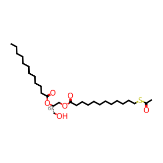 CCCCCCCCCCCC(=O)O[C@@H](CO)COC(=O)CCCCCCCCCCCSC(C)=O